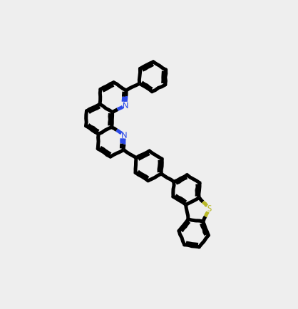 c1ccc(-c2ccc3ccc4ccc(-c5ccc(-c6ccc7sc8ccccc8c7c6)cc5)nc4c3n2)cc1